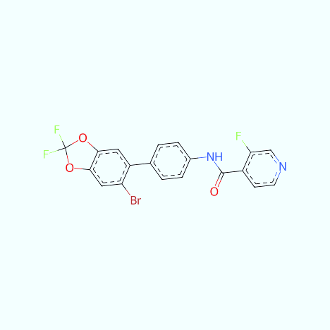 O=C(Nc1ccc(-c2cc3c(cc2Br)OC(F)(F)O3)cc1)c1ccncc1F